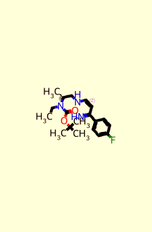 CCN(C(=O)OC(C)(C)C)[C@H](C)CN/C=C\C(=N)c1ccc(F)cc1